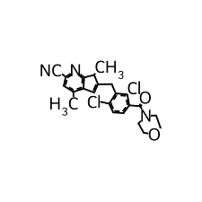 Cc1cc(C#N)nc2c1C=C(Cc1c(Cl)ccc(C(=O)N3CCOCC3)c1Cl)C2C